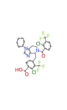 O=C(O)c1ccc(CC2c3ncn(-c4ccccc4)c3CCN2C(=O)c2cccc(C(F)(F)F)c2Cl)c(C(F)(F)F)c1Cl